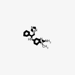 Cn1c(N)nc2cc(NC(Cn3cncn3)c3ccccc3)ccc21